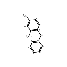 CC(=O)c1ccc([CH]c2ccccc2)c(C(C)=O)c1